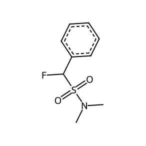 CN(C)S(=O)(=O)C(F)c1ccccc1